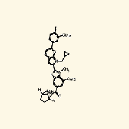 COc1cc(-c2ccc3cc(-c4nc5cc(C(=O)N6C[C@H]7CC[C@@H]6[C@@H]7N)cc(OC)c5n4C)n(CC4CC4)c3n2)ccc1F